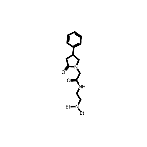 CCN(CC)CCNC(=O)CN1CC(c2ccccc2)CC1=O